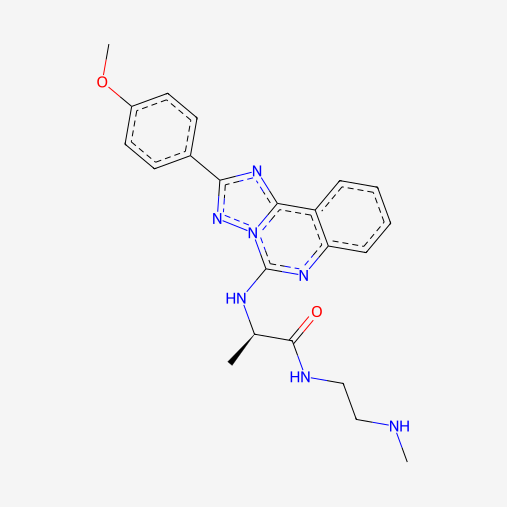 CNCCNC(=O)[C@@H](C)Nc1nc2ccccc2c2nc(-c3ccc(OC)cc3)nn12